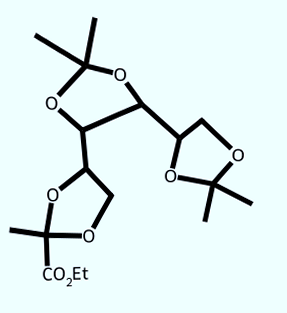 CCOC(=O)C1(C)OCC(C2OC(C)(C)OC2C2COC(C)(C)O2)O1